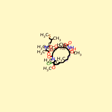 COc1cc2cc(c1Cl)N(C)C(=O)C[C@H](OC(=O)[C@H](C)N(C)C(=O)CCC(C)CSC)[C@]1(C)O[C@H]1[C@H](C)[C@@H]1C[C@@](O)(NC(=O)O1)[C@H](OC)/C=C/C=C(\C)C2